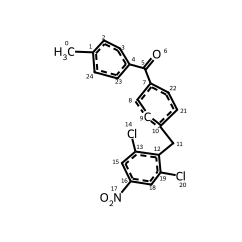 Cc1ccc(C(=O)c2ccc(Cc3c(Cl)cc([N+](=O)[O-])cc3Cl)cc2)cc1